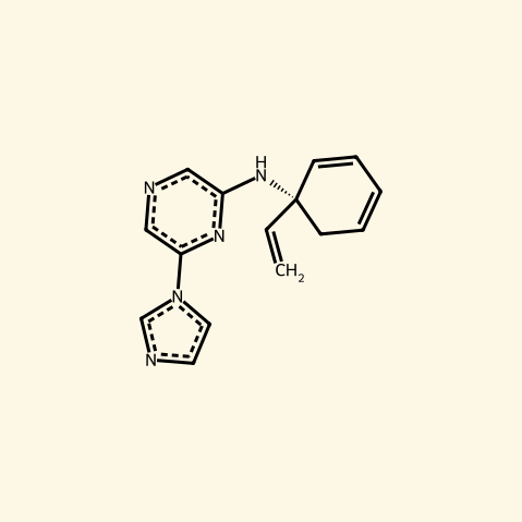 C=C[C@@]1(Nc2cncc(-n3ccnc3)n2)C=CC=CC1